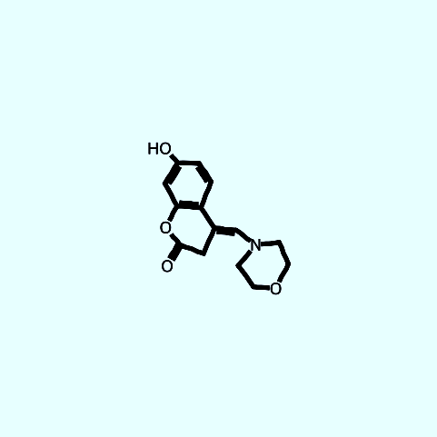 O=C1CC(=CN2CCOCC2)c2ccc(O)cc2O1